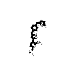 COCc1ccc(-c2cc(Cc3ccc(Cc4ccc(Cl)o4)cc3)no2)c(N)n1